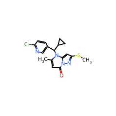 CSc1cc2n(C(c3ccc(Cl)nc3)C3CC3)c(C)cc(=O)n2n1